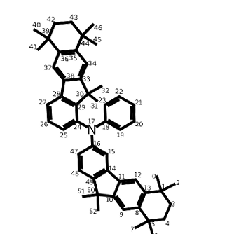 CC1(C)CCC(C)(C)c2cc3c(cc21)-c1cc(N(c2ccccc2)c2cccc4c2C(C)(C)c2cc5c(cc2-4)C(C)(C)CCC5(C)C)ccc1C3(C)C